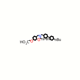 CCCCCC(=O)N(Cc1ccc(OCC(=O)O)cc1)Cc1ccc(-c2ccc(CCCC)cc2)cc1